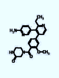 CCc1nccc(-c2ccc(C(=O)N3CCNC(=O)C3)c(OC)c2)c1-c1ccc(N)nc1